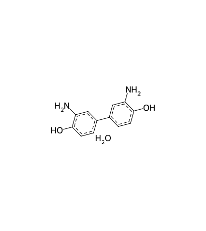 Nc1cc(-c2ccc(O)c(N)c2)ccc1O.O